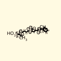 CCC(C)(OC(=O)C1CC(OC(=O)CCC(=O)OC(C)C(F)(F)S(=O)(=O)O)C(=O)O1)c1cc2ccc1o2